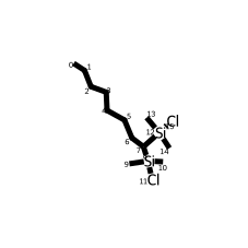 CCCCCCCC([Si](C)(C)Cl)[Si](C)(C)Cl